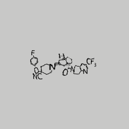 N#CC1(Oc2ccc(F)cc2)CCN([C@@H]2C[C@H]3CCC[C@@]3(C(=O)N3CCc4ncc(C(F)(F)F)cc4C3)C2)CC1